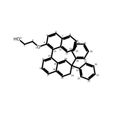 OCCOc1ccc2ccccc2c1-c1cccc2c1=CC(c1ccccc1)(c1ccccc1)CC=2